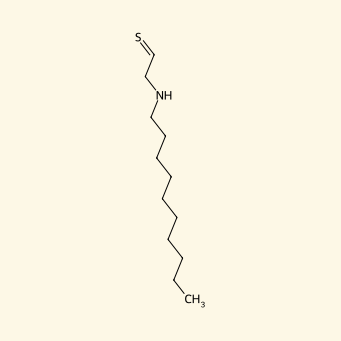 CCCCCCCCCCNCC=S